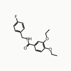 CCOc1ccc(C(=O)NCc2ccc(F)cc2)cc1OCC